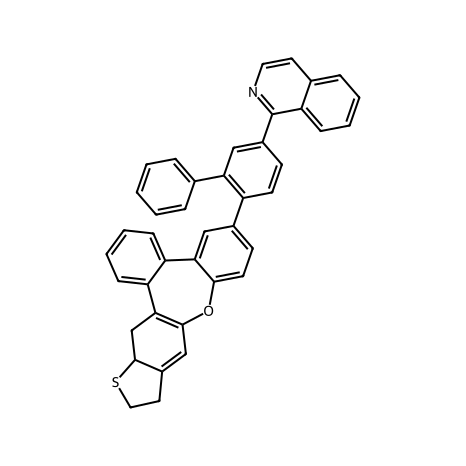 C1=C2CCSC2CC2=C1Oc1ccc(-c3ccc(-c4nccc5ccccc45)cc3-c3ccccc3)cc1-c1ccccc12